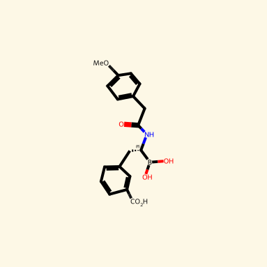 COc1ccc(CC(=O)N[C@@H](Cc2cccc(C(=O)O)c2)B(O)O)cc1